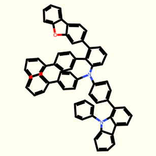 c1ccc(-c2ccc(-c3c(-c4ccc5c(c4)oc4ccccc45)cccc3N(c3ccc(-c4ccccc4)cc3)c3ccc(-c4cccc5c6ccccc6n(-c6ccccc6)c45)cc3)cc2)cc1